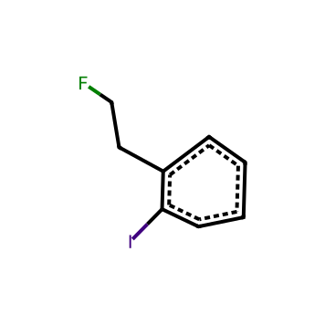 FCCc1ccccc1I